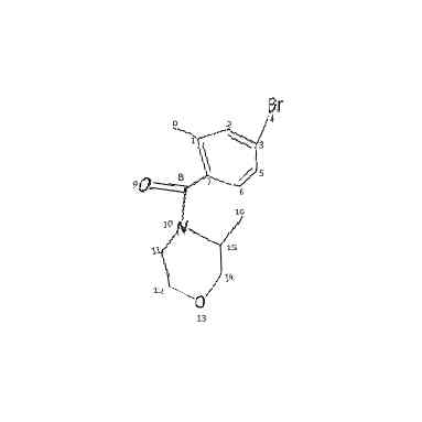 Cc1cc(Br)ccc1C(=O)N1CCOCC1C